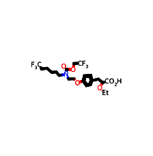 CCOC(Cc1ccc(OCCN(CCCCCC(F)(F)F)C(=O)OCC(F)(F)F)cc1)C(=O)O